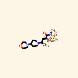 C=C(/C=C(\NC)C(=O)N(C)S(=O)(=O)CCC)N1CCC(N2CCOCC2)CC1